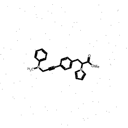 COC(=O)C(Cc1ccc(C#CCN(C)c2ccccc2)cc1)n1cccc1